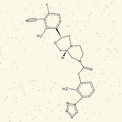 Cc1c(CC(=O)N2CCN3C[C@H](c4ccc(F)c(C#N)c4C)OC[C@H]3C2)cccc1-n1cnnn1